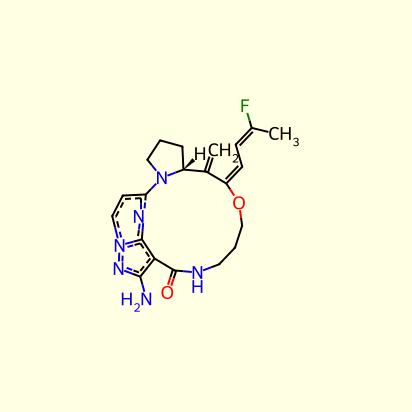 C=C1/C(=C\C=C(/C)F)OCCCNC(=O)c2c(N)nn3ccc(nc23)N2CCC[C@H]12